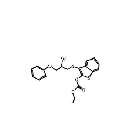 CCOC(=O)Oc1sc2ccccc2c1OCC(O)COc1ccccc1